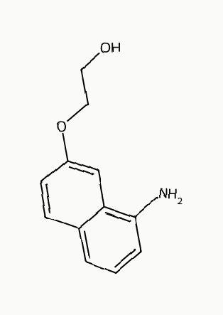 Nc1cccc2ccc(OCCO)cc12